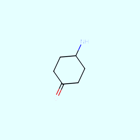 [NH]C1CCC(=O)CC1